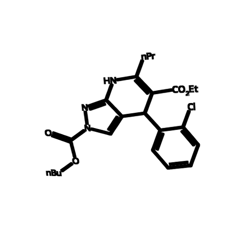 CCCCOC(=O)n1cc2c(n1)NC(CCC)=C(C(=O)OCC)C2c1ccccc1Cl